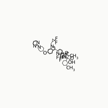 CC1CCCC(C(NC(=O)c2ccc(-c3cn(CC4CC4(F)F)c4cc(OC5CCN(c6ncccn6)CC5)ccc34)nc2C(F)(F)F)(C(=O)O)C(C)C)C1